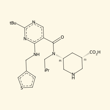 CC(C)CN(C(=O)c1cnc(C(C)(C)C)nc1NCc1ccsc1)[C@H]1CNC[C@@H](C(=O)O)C1